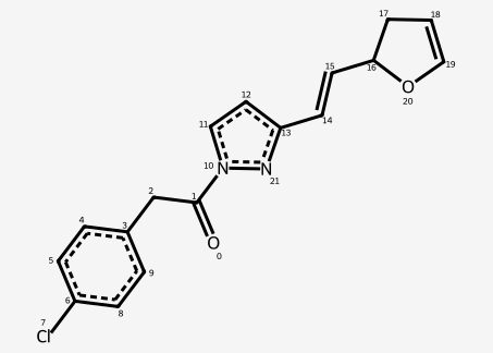 O=C(Cc1ccc(Cl)cc1)n1ccc(/C=C/C2CC=CO2)n1